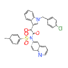 Cc1ccc(S(=O)(=O)N(C(=O)C(=O)c2cn(Cc3ccc(Cl)cc3)c3ccccc23)c2ccc3ncccc3c2)cc1